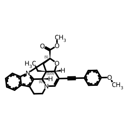 CC[C@@]12C[C@@]3(C(=O)OC)O[C@@H]1C(C#Cc1ccc(OC)cc1)=CN1CCc4c(n3c3ccccc43)[C@@H]12